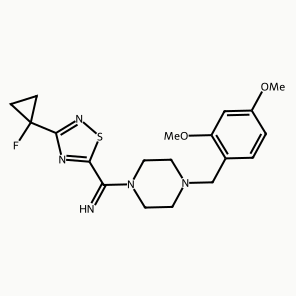 COc1ccc(CN2CCN(C(=N)c3nc(C4(F)CC4)ns3)CC2)c(OC)c1